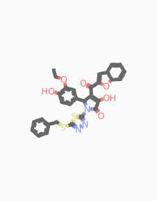 CCOc1cc(C2C(C(=O)C3=CC4C=CC=CC4O3)=C(O)C(=O)N2c2nnc(SCc3ccccc3)s2)ccc1O